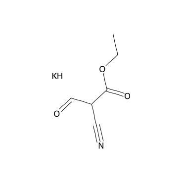 CCOC(=O)C(C#N)C=O.[KH]